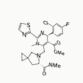 CNC(=O)[C@@H]1CC2(CC2)CN1CC1=C(C(=O)OC)[C@H](c2ccc(F)cc2Cl)N=C(c2nccs2)N1C